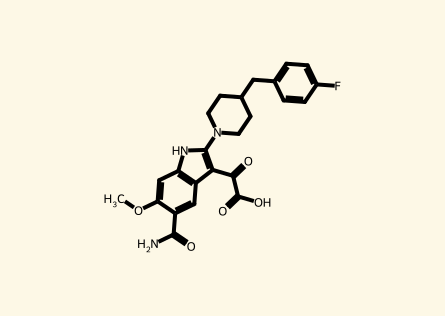 COc1cc2[nH]c(N3CCC(Cc4ccc(F)cc4)CC3)c(C(=O)C(=O)O)c2cc1C(N)=O